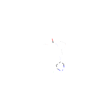 CC(C)(C)OC(=O)N1CCOC(CNc2cc(Cl)nnc2Cl)C1